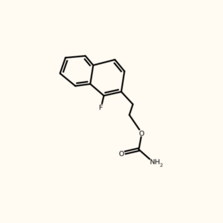 NC(=O)OCCc1ccc2ccccc2c1F